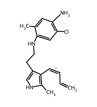 C=C/C=C\c1c(CCNc2cc(Cl)c(N)cc2C)c[nH]c1C